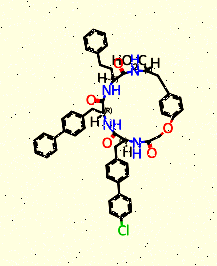 O=C1COc2ccc(cc2)C[C@@H](C(=O)O)NC(=O)[C@H](CCc2ccccc2)NC(=O)[C@@H](Cc2ccc(-c3ccccc3)cc2)NC(=O)[C@H](Cc2ccc(-c3ccc(Cl)cc3)cc2)N1